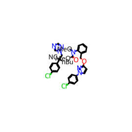 CCCCC(C#N)(Cn1cncn1)c1ccc(Cl)cc1.COC(=O)N(OC)c1ccccc1COc1ccn(-c2ccc(Cl)cc2)n1